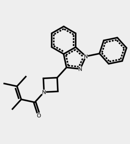 CC(C)=C(C)C(=O)N1CC(c2nn(-c3ccccc3)c3ccccc23)C1